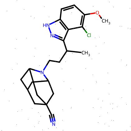 COc1ccc2[nH]nc(C(C)CCN3C4CC5CC3CC(C#N)(C5)C4)c2c1Cl